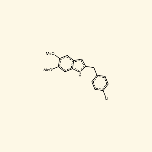 COc1cc2cc(Cc3ccc(Cl)cc3)[nH]c2cc1OC